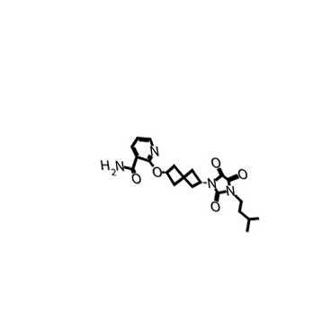 CC(C)CCN1C(=O)C(=O)N([C@H]2CC3(C[C@H](Oc4ncccc4C(N)=O)C3)C2)C1=O